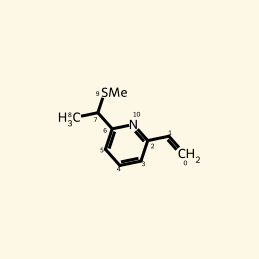 C=Cc1cccc(C(C)SC)n1